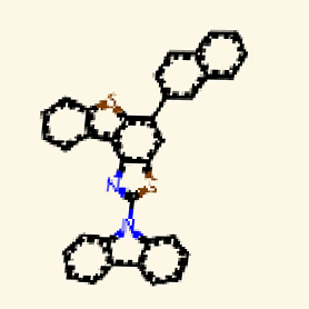 c1ccc2cc(-c3cc4sc(-n5c6ccccc6c6ccccc65)nc4c4c3sc3ccccc34)ccc2c1